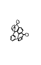 O=C(Cl)c1ccc(C(=O)Cl)c2c1C(=O)c1cccc(c1)C2=O